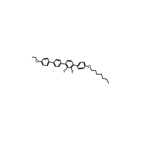 CCCCCCCOc1ccc(-c2ccc(-c3ccc(-c4ccc(OCC)cc4)cc3)c(F)c2F)cc1